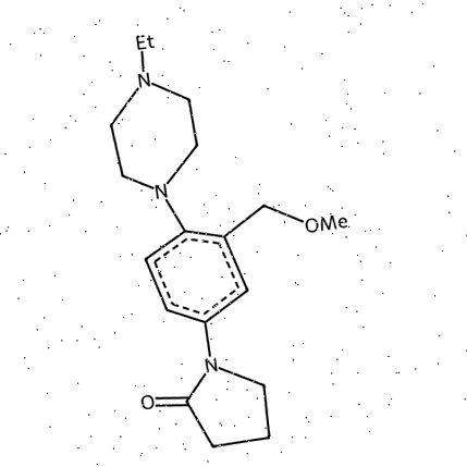 CCN1CCN(c2ccc(N3CCCC3=O)cc2COC)CC1